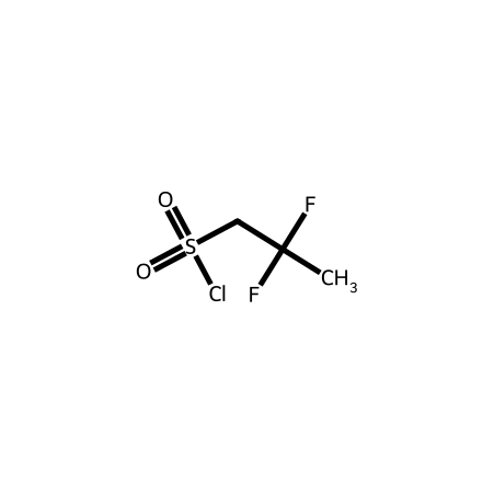 CC(F)(F)CS(=O)(=O)Cl